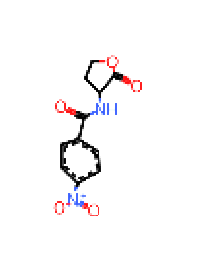 O=C(NC1CCOC1=O)c1ccc([N+](=O)[O-])cc1